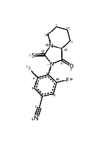 N#Cc1cc(F)c(N2C(=O)C3CCCCN3C2=S)c(F)c1